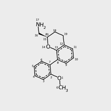 COc1ccccc1-c1cccc2c1O[C@@H](CN)CC2